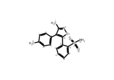 Cc1ccc(-c2c(C)noc2-c2ccccc2S(N)(=O)=O)cc1